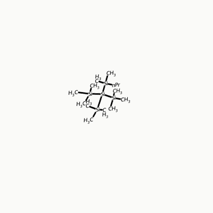 CCC[Si](C)(C)[Si]([Si](C)(C)C)([Si](C)(C)C)[Si](C)(C)C